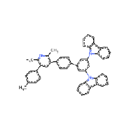 Cc1ccc(-c2cc(-c3ccc(-c4cc(-n5c6ccccc6c6ccccc65)cc(-n5c6ccccc6c6ccccc65)c4)cc3)c(C)nc2C)cc1